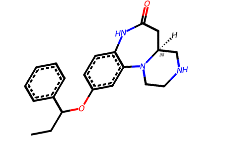 CCC(Oc1ccc2c(c1)N1CCNC[C@@H]1CC(=O)N2)c1ccccc1